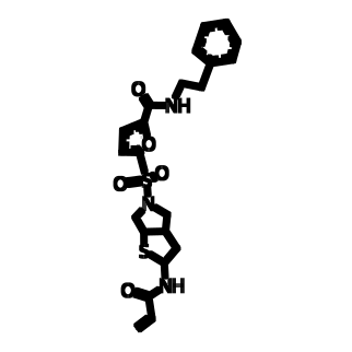 C=CC(=O)NC1CC2CN(S(=O)(=O)c3ccc(C(=O)NCCc4ccccc4)o3)CC2S1